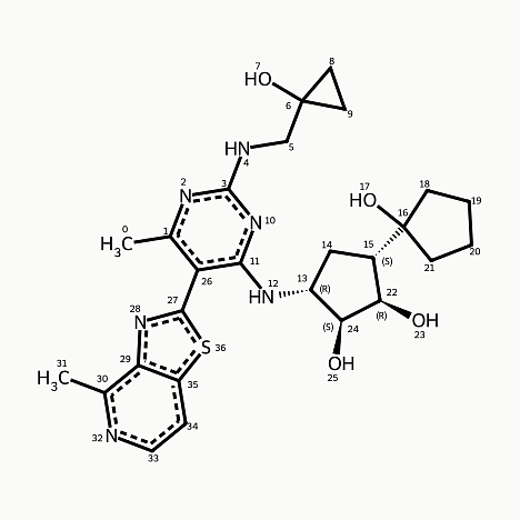 Cc1nc(NCC2(O)CC2)nc(N[C@@H]2C[C@H](C3(O)CCCC3)[C@@H](O)[C@H]2O)c1-c1nc2c(C)nccc2s1